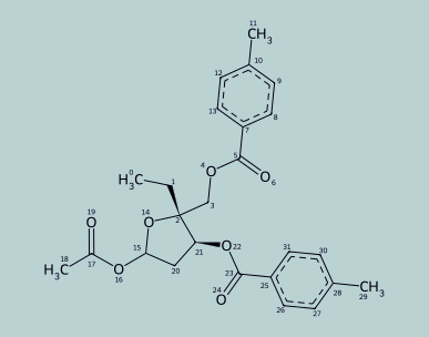 CC[C@]1(COC(=O)c2ccc(C)cc2)OC(OC(C)=O)C[C@@H]1OC(=O)c1ccc(C)cc1